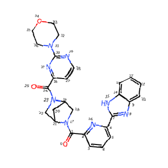 O=C(c1cccc(-c2nc3ccccc3[nH]2)n1)N1CC2CC1CN2C(=O)c1ccnc(N2CCOCC2)n1